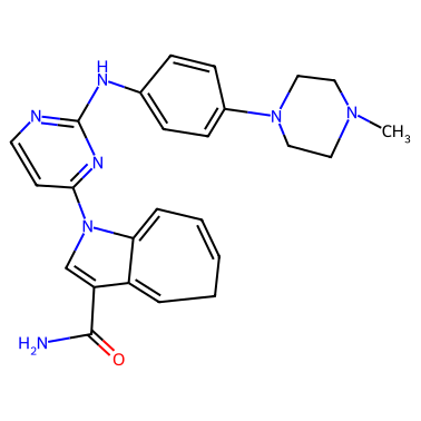 CN1CCN(c2ccc(Nc3nccc(-n4cc(C(N)=O)c5c4=CC=CCC=5)n3)cc2)CC1